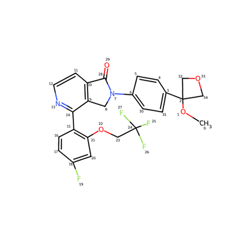 COC1(c2ccc(N3Cc4c(ccnc4-c4ccc(F)cc4OCC(F)(F)F)C3=O)cc2)COC1